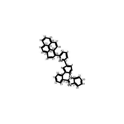 c1cc(-c2ccc3c(c2)c2ccccc2c2nc4ccccc4n32)nc(-c2ccc3ccc4cccc5ccc2c3c45)c1